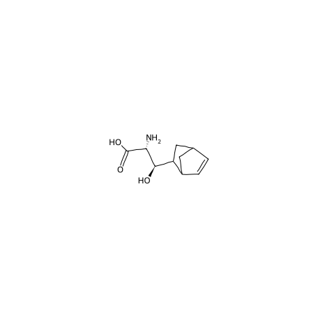 N[C@@H](C(=O)O)[C@H](O)C1CC2C=CC1C2